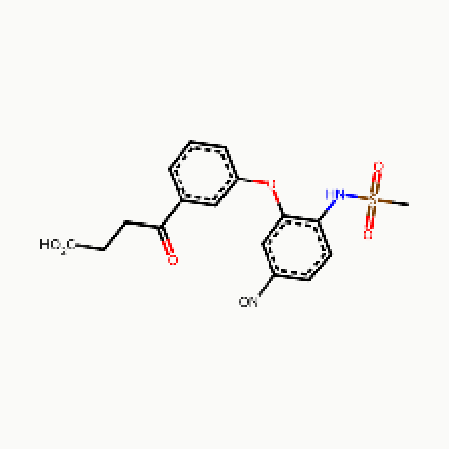 CS(=O)(=O)Nc1ccc(N=O)cc1Oc1cccc(C(=O)CCC(=O)O)c1